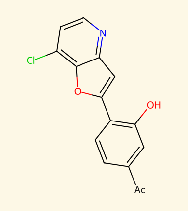 CC(=O)c1ccc(-c2cc3nccc(Cl)c3o2)c(O)c1